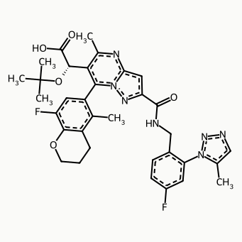 Cc1nc2cc(C(=O)NCc3ccc(F)cc3-n3nncc3C)nn2c(-c2cc(F)c3c(c2C)CCCO3)c1[C@H](OC(C)(C)C)C(=O)O